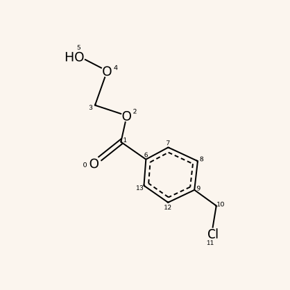 O=C(OCOO)c1ccc(CCl)cc1